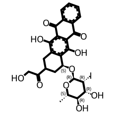 C[C@@H]1O[C@@H](O[C@H]2CC(C(=O)CO)Cc3c(O)c4c(c(O)c32)C(=O)c2ccccc2C4=O)[C@H](I)[C@H](O)[C@H]1O